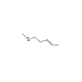 CC=CCCSC